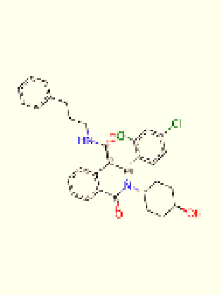 O=C(NCCCc1ccccc1)[C@@H]1c2ccccc2C(=O)N([C@H]2CC[C@H](O)CC2)[C@H]1c1ccc(Cl)cc1Cl